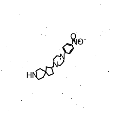 O=[N+]([O-])c1ccc(N2CCN(C3CCC4(CCNCC4)C3)CC2)cc1